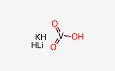 [KH].[LiH].[O]=[V](=[O])[OH]